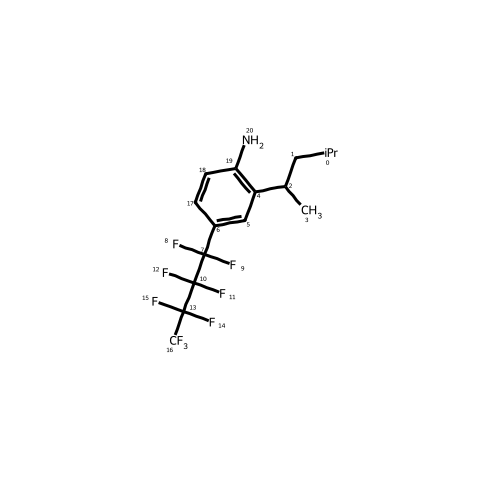 CC(C)CC(C)c1cc(C(F)(F)C(F)(F)C(F)(F)C(F)(F)F)ccc1N